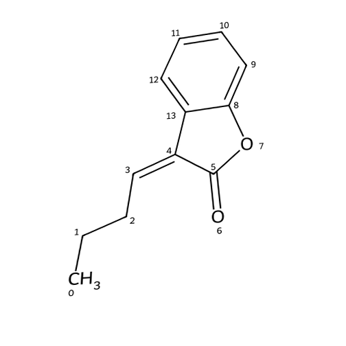 CCCC=C1C(=O)Oc2ccccc21